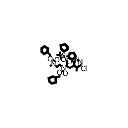 Cc1c(Cl)nnc(Cl)c1CC(CO[Si](c1ccccc1)(c1ccccc1)C(C)(C)C)N(CCN(C)C(=O)OCc1ccccc1)C(=O)OCc1ccccc1